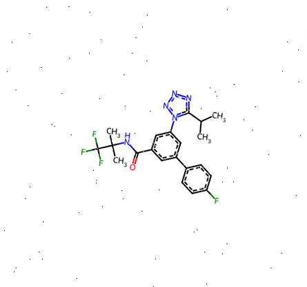 CC(C)c1nnnn1-c1cc(C(=O)NC(C)(C)C(F)(F)F)cc(-c2ccc(F)cc2)c1